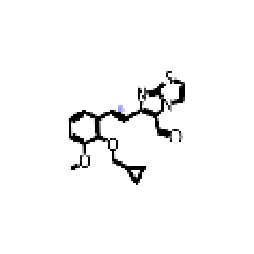 COc1cccc(/C=C/c2nc3sccn3c2C=O)c1OCC1CC1